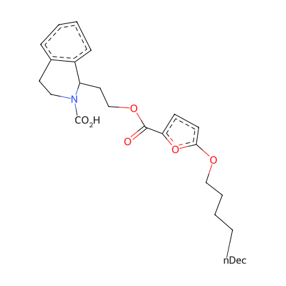 CCCCCCCCCCCCCCOc1ccc(C(=O)OCCC2c3ccccc3CCN2C(=O)O)o1